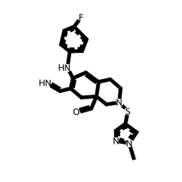 Cn1cc(SN2CCC3=CC(Nc4ccc(F)cc4)=C(C=N)CC3(C=O)C2)cn1